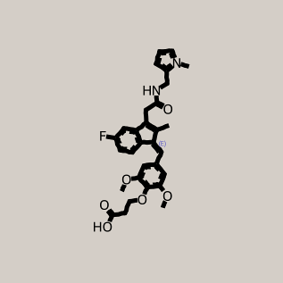 COc1cc(/C=C2/C(C)=C(CC(=O)NCc3cccn3C)c3cc(F)ccc32)cc(OC)c1OCCC(=O)O